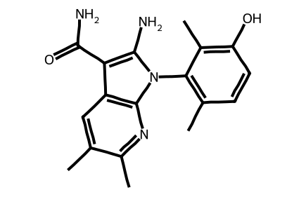 Cc1cc2c(C(N)=O)c(N)n(-c3c(C)ccc(O)c3C)c2nc1C